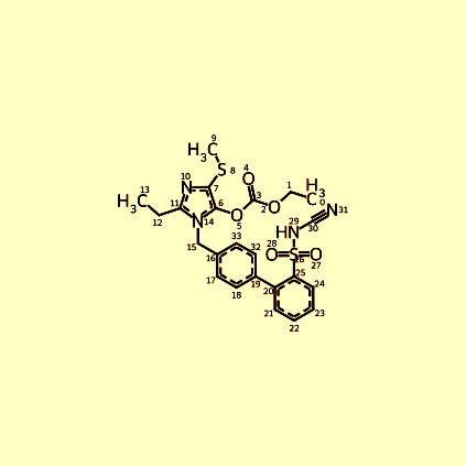 CCOC(=O)Oc1c(SC)nc(CC)n1Cc1ccc(-c2ccccc2S(=O)(=O)NC#N)cc1